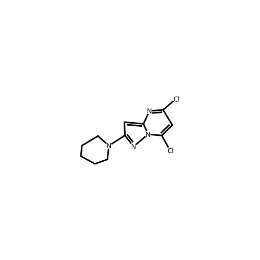 Clc1cc(Cl)n2nc(N3CCCCC3)cc2n1